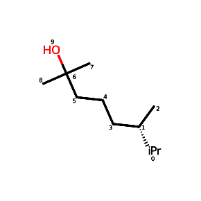 CC(C)[C@@H](C)CCCC(C)(C)O